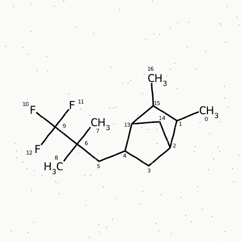 CC1C2CC(CC(C)(C)C(F)(F)F)C(C2)C1C